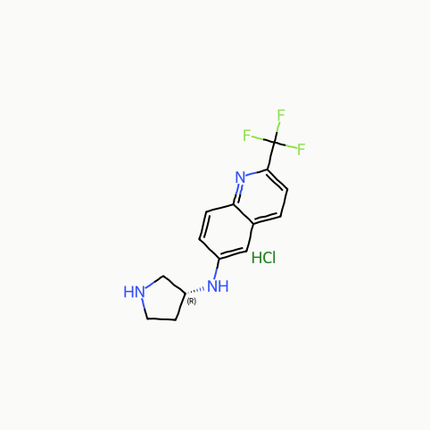 Cl.FC(F)(F)c1ccc2cc(N[C@@H]3CCNC3)ccc2n1